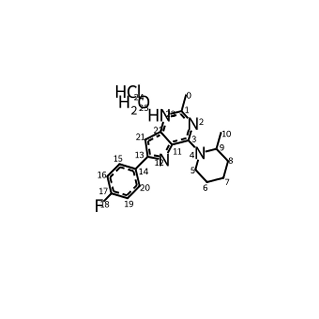 Cc1nc(N2CCCCC2C)c2nc(-c3ccc(F)cc3)cc-2[nH]1.Cl.O